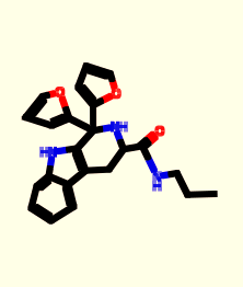 CCCNC(=O)C1Cc2c([nH]c3ccccc23)C(c2ccco2)(c2ccco2)N1